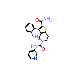 NC(=O)c1sc2c(c1-c1ccccc1N)CN(C(=O)Nc1cccnc1)CC2